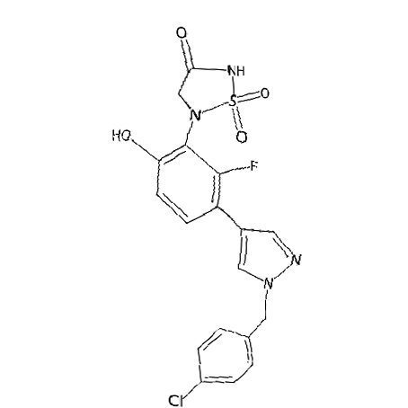 O=C1CN(c2c(O)ccc(-c3cnn(Cc4ccc(Cl)cc4)c3)c2F)S(=O)(=O)N1